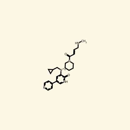 CNCC=CC(=O)N1CCC[C@H](N(CC2CC2)c2cc(-c3ccncc3)c[nH]c2=O)C1